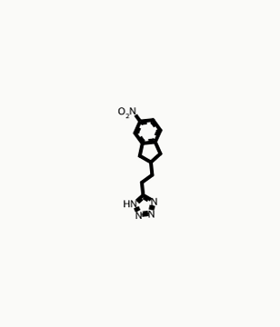 O=[N+]([O-])c1ccc2c(c1)CC(CCc1nnn[nH]1)C2